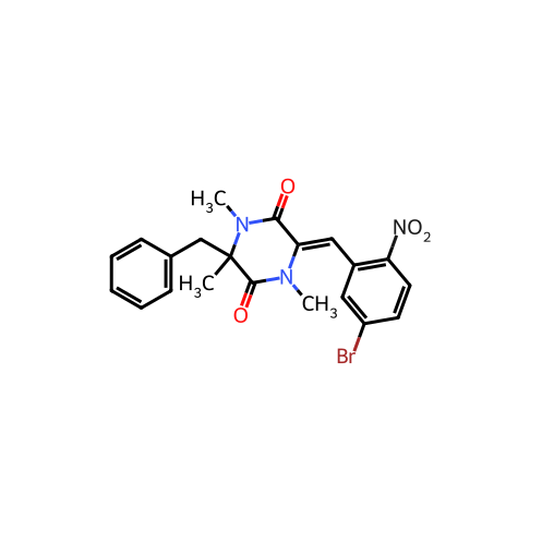 CN1C(=O)C(C)(Cc2ccccc2)N(C)C(=O)C1=Cc1cc(Br)ccc1[N+](=O)[O-]